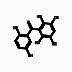 O=C(c1cc(O)ccc1O)c1c(O)c(O)cc(O)c1O